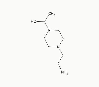 CC(O)N1CCN(CCN)CC1